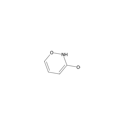 [O]C1=CC=CON1